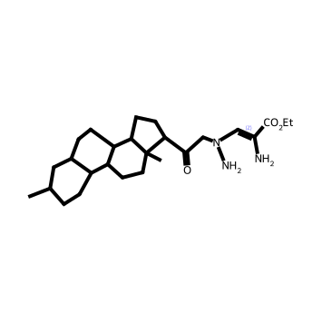 CCOC(=O)/C(N)=C/N(N)CC(=O)C1CCC2C3CCC4CC(C)CCC4C3CCC12C